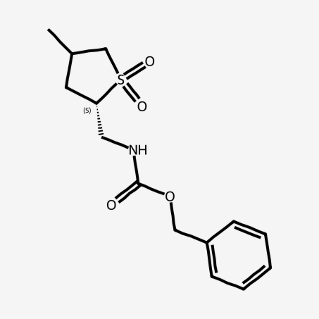 CC1C[C@@H](CNC(=O)OCc2ccccc2)S(=O)(=O)C1